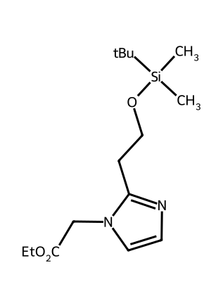 CCOC(=O)Cn1ccnc1CCO[Si](C)(C)C(C)(C)C